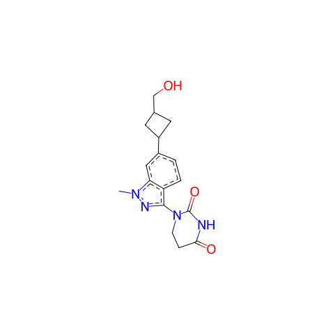 Cn1nc(N2CCC(=O)NC2=O)c2ccc(C3CC(CO)C3)cc21